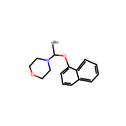 C[CH]CCC(Oc1cccc2ccccc12)N1CCOCC1